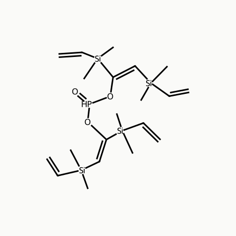 C=C[Si](C)(C)C=C(O[PH](=O)OC(=C[Si](C)(C)C=C)[Si](C)(C)C=C)[Si](C)(C)C=C